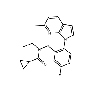 CCN(Cc1cc(F)ccc1-n1ccc2ccc(C)nc21)C(=O)C1CC1